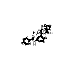 N=C1N[C@](N)(c2cc(NC(=O)c3ccc(F)cn3)ccc2F)CS(=O)(=O)C12CCC2